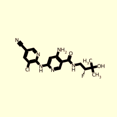 CC(C)(O)[C@H](F)CNC(=O)c1cnc(Nc2ncc(C#N)cc2Cl)cc1N